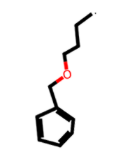 [CH2]CCCOCc1ccccc1